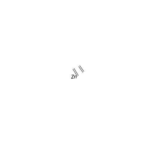 C=C.C=C.[Zn]